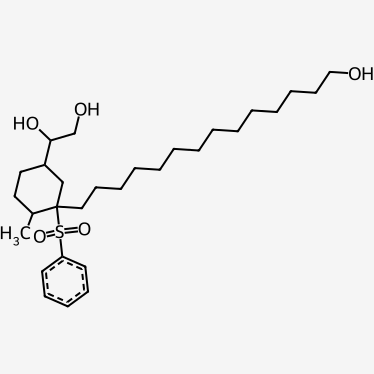 CC1CCC(C(O)CO)CC1(CCCCCCCCCCCCCCO)S(=O)(=O)c1ccccc1